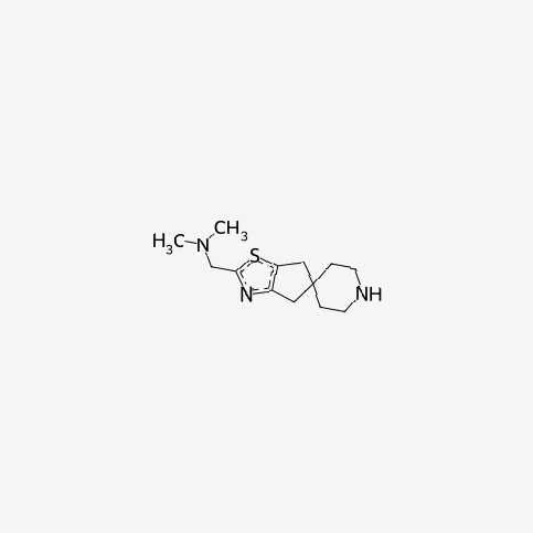 CN(C)Cc1nc2c(s1)CC1(CCNCC1)C2